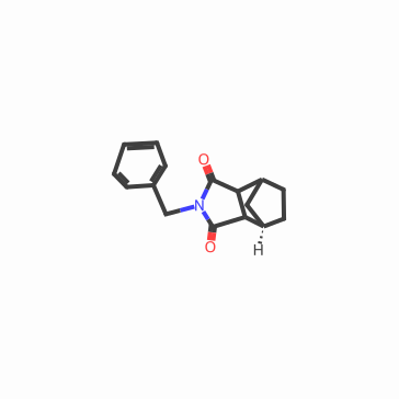 O=C1C2C3CC[C@H](C3)C2C(=O)N1Cc1ccccc1